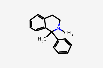 CN1CCc2ccccc2C1(C)c1ccccc1